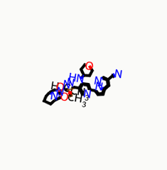 CC(C)(C)OC(=O)N1C2CCCC1CN(c1nnc(-c3cnc(-c4ccc5cc(C#N)cnn45)cc3NC3CCOCC3)s1)C2